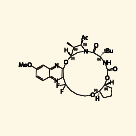 COc1ccc2nc3c(nc2c1)O[C@H]1CN(C(=O)[C@H](C(C)(C)C)NC(=O)O[C@@H]2CCC[C@H]2OCCCC3(F)F)[C@H](C(C)=O)[C@@H]1C